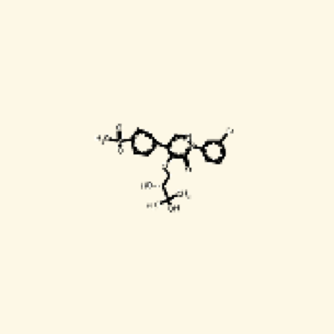 CC(C)(O)[C@H](O)COc1c(-c2ccc(S(C)(=O)=O)cc2)cnn(-c2cccc(Br)c2)c1=O